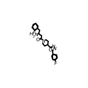 N[C@@H](CC(=O)N1CCC(c2nnc(-c3ccc(F)cc3)o2)CC1)Cc1ccccc1F